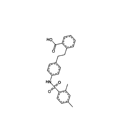 Cc1ccc(S(=O)(=O)Nc2ccc(CCc3ccccc3C(=O)O)cc2)c(C)c1